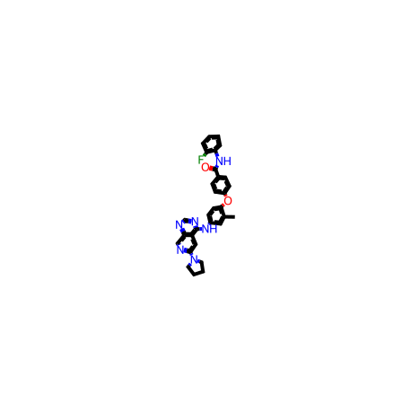 Cc1cc(Nc2ncnc3cnc(N4CCCC4)cc23)ccc1Oc1ccc(C(=O)Nc2ccccc2F)cc1